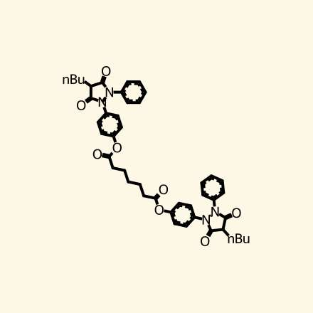 CCCCC1C(=O)N(c2ccccc2)N(c2ccc(OC(=O)CCCCCC(=O)Oc3ccc(N4C(=O)C(CCCC)C(=O)N4c4ccccc4)cc3)cc2)C1=O